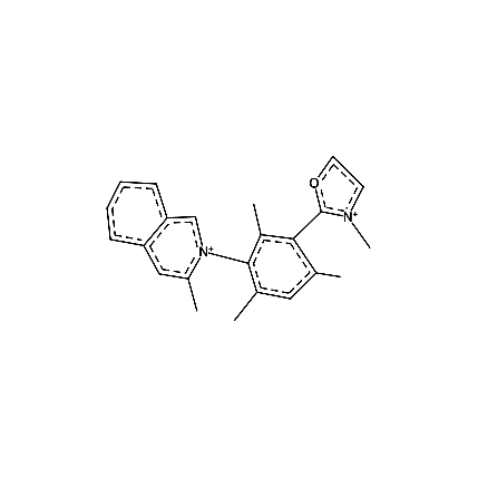 Cc1cc(C)c(-[n+]2cc3ccccc3cc2C)c(C)c1-c1occ[n+]1C